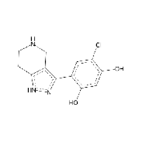 Oc1cc(O)c(-c2n[nH]c3c2CNCC3)cc1Cl